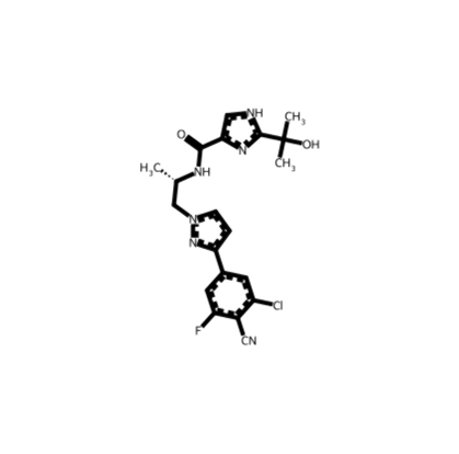 C[C@@H](Cn1ccc(-c2cc(F)c(C#N)c(Cl)c2)n1)NC(=O)c1c[nH]c(C(C)(C)O)n1